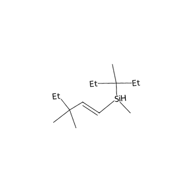 CCC(C)(C)C=C[SiH](C)C(C)(CC)CC